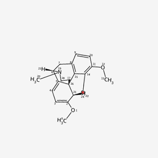 COC1=CC=C2[C@@H]3Cc4ccc(OC)c5c4[C@]2(CCN3C)[C@@H]1O5